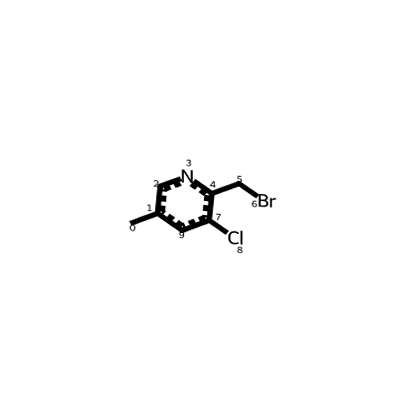 Cc1cnc(CBr)c(Cl)c1